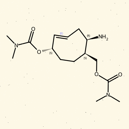 CN(C)C(=O)OC[C@H]1CC[C@H](OC(=O)N(C)C)/C=C/C[C@H]1N